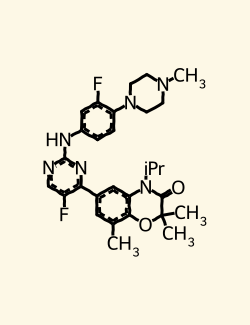 Cc1cc(-c2nc(Nc3ccc(N4CCN(C)CC4)c(F)c3)ncc2F)cc2c1OC(C)(C)C(=O)N2C(C)C